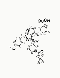 COc1ccc(Cn2nc(NC3CCCN(C(=O)OC(C)(C)C)C3)c3c(Oc4cccc(C(=O)O)c4)ccnc32)cc1